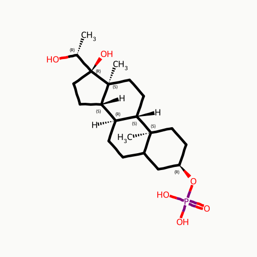 C[C@@H](O)[C@@]1(O)CC[C@H]2[C@@H]3CCC4C[C@H](OP(=O)(O)O)CC[C@]4(C)[C@H]3CC[C@@]21C